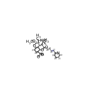 COC(=O)C1=C(C)NC(C)=C(C(=O)OCC/C=C/c2ccccn2)C1c1cccc([N+](=O)[O-])c1